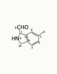 Cc1ccc2c(c1)C(C=O)NC2